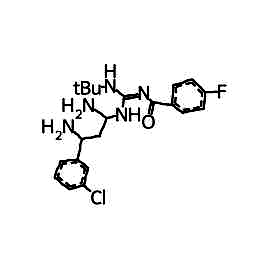 CC(C)(C)N/C(=N/C(=O)c1ccc(F)cc1)NC(N)CC(N)c1cccc(Cl)c1